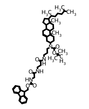 CC(C)CCC[C@@H](C)C1CCC2C3CC=C4CC(N(CCCNC(=O)CCNC(=O)CNC(=O)OCC5c6ccccc6-c6ccccc65)C(=O)OC(C)(C)C)CCC4(C)C3CCC21C